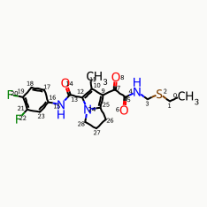 CCSCNC(=O)C(=O)c1c(C)c(C(=O)Nc2ccc(F)c(F)c2)n2c1CCC2